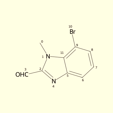 Cn1c(C=O)nc2cccc(Br)c21